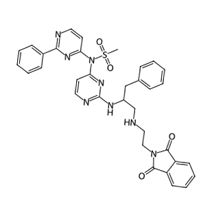 CS(=O)(=O)N(c1ccnc(NC(CNCCN2C(=O)c3ccccc3C2=O)Cc2ccccc2)n1)c1ccnc(-c2ccccc2)n1